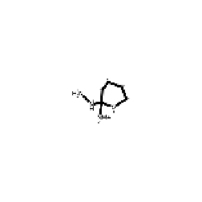 CNC1(NN)CCCCO1